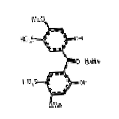 COc1cc(O)c(C(=O)c2cc(S(=O)(=O)O)c(OC)cc2O)cc1S(=O)(=O)O.[Na].[Na]